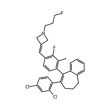 Cc1c(C2=C(c3ccc(Cl)cc3Cl)CCCc3ccccc32)ccc(C=C2CN(CCCF)C2)c1F